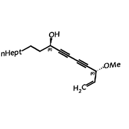 C=C[C@H](C#CC#C[C@H](O)CCCCCCCCC)OC